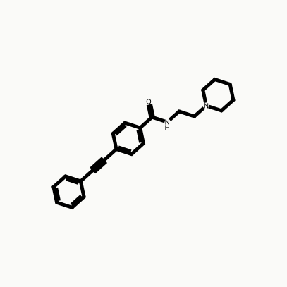 O=C(NCCN1CCCCC1)c1ccc(C#Cc2ccccc2)cc1